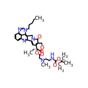 CCCCCN1C=Nc2cccc3nc4c(c1c23)Cn1c-4cc2c(c1=O)COC(=O)[C@@]2(CC)OC(=O)CN(C)CCNC(=O)OC(C)(C)C